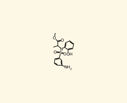 COC(=O)C(C)N(c1ccccc1O)S(=O)(=O)c1cccc(N)c1